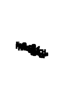 C[C@@H](C1CC1)N(Cc1ccc(F)cc1)C(=O)CN1C(=O)O[C@]2(CCc3cc(NC(=O)N4CC(F)(F)C4)ccc32)C1=O